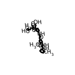 COc1cc(CC(=O)CNc2ccc(C(CC(=O)O)N(C)C(=O)CCC(=O)O)nc2)ccc1NC(=O)Nc1ccccc1C